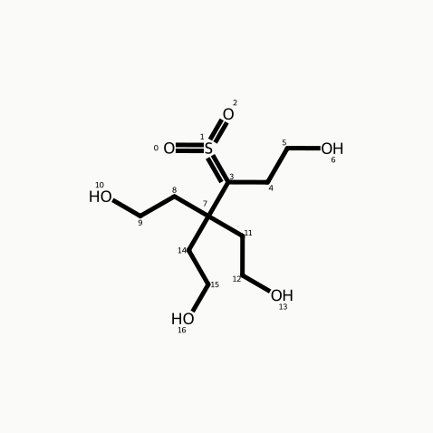 O=S(=O)=C(CCO)C(CCO)(CCO)CCO